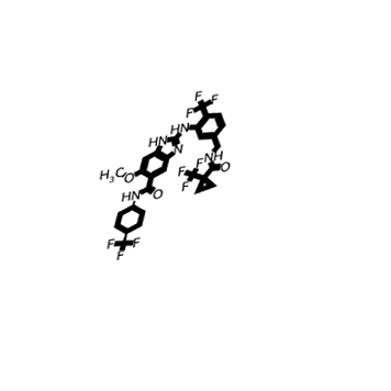 COc1cc2[nH]c(Nc3cc(CNC(=O)C4(C(F)(F)F)CC4)ccc3C(F)(F)F)nc2cc1C(=O)N[C@H]1CC[C@H](C(F)(F)F)CC1